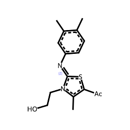 CC(=O)c1s/c(=N\c2ccc(C)c(C)c2)n(CCO)c1C